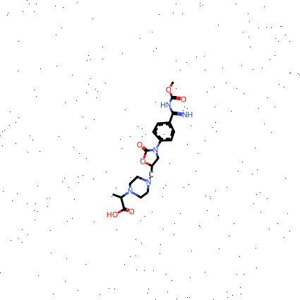 COC(=O)NC(=N)c1ccc(N2CC(CN3CCN(C(C)C(=O)O)CC3)OC2=O)cc1